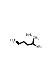 C=CCCC(C)CCCC.N